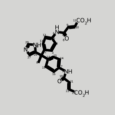 CC(c1ccc(NC(=O)/C=C/C(=O)O)cc1)(c1ccc(NC(=O)/C=C/C(=O)O)cc1)c1cnc[nH]1